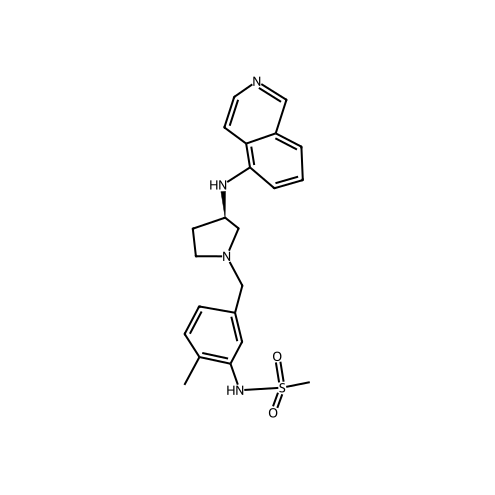 Cc1ccc(CN2CC[C@@H](Nc3cccc4cnccc34)C2)cc1NS(C)(=O)=O